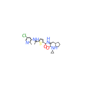 Cc1ncc(Cl)cc1N[C@H](C)c1ccc(C(=O)N[C@@H](CC2CCCC2)C(=O)NC2CC2)s1